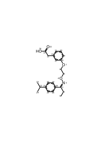 CCC(=NOCCOc1cccc(CC(=O)O)c1)c1ccc(C(C)C)cc1